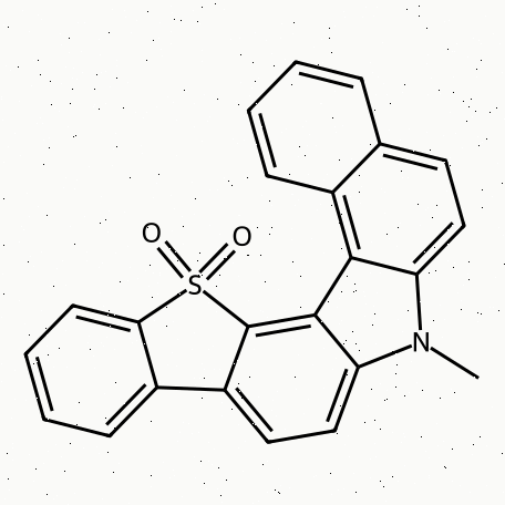 Cn1c2ccc3c(c2c2c4ccccc4ccc21)S(=O)(=O)c1ccccc1-3